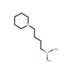 CCCCN(CCCC)CCC[CH2][Al]1[CH2]CCC[CH2]1